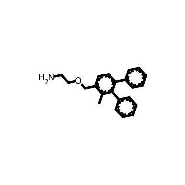 Cc1c(COCCN)ccc(-c2ccccc2)c1-c1ccccc1